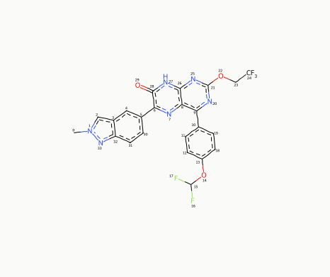 Cn1cc2cc(-c3nc4c(-c5ccc(OC(F)F)cc5)nc(OCC(F)(F)F)nc4[nH]c3=O)ccc2n1